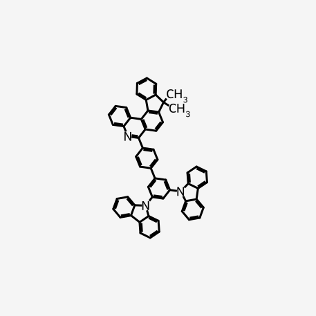 CC1(C)c2ccccc2-c2c1ccc1c(-c3ccc(-c4cc(-n5c6ccccc6c6ccccc65)cc(-n5c6ccccc6c6ccccc65)c4)cc3)nc3ccccc3c21